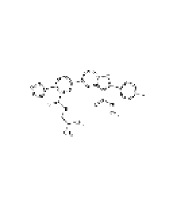 CNC(=O)c1c(-c2ccc(F)cc2)oc2ccc(-c3ccc(-c4ccoc4)c(C(=O)NCC(C)C)c3)cc12